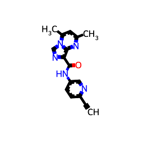 C#Cc1ccc(NC(=O)c2ncn3c(C)cc(C)nc23)cn1